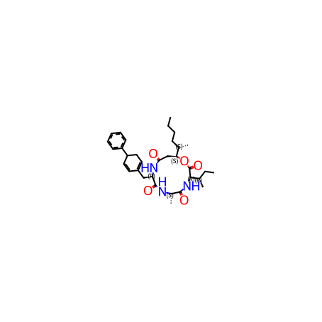 CCCC[C@H](C)[C@@H]1CC(=O)N[C@H](CC2=CCC(c3ccccc3)C=C2)C(=O)N[C@@H](C)C(=O)N[C@H]([C@H](C)CC)C(=O)O1